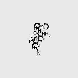 N#Cc1ncc(C(F)(F)F)c(-c2cnc(N)c(C(=O)Nc3ncccc3N3CCCCC3)n2)n1